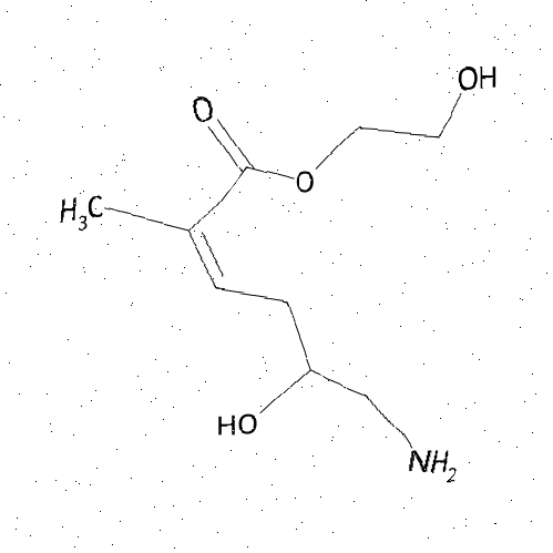 CC(=CCC(O)CN)C(=O)OCCO